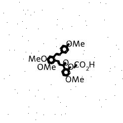 COc1ccc(/C=C/c2cc(OC)cc(OC)c2/C=C/C(=O)c2ccc(OC)cc2OCC(=O)O)cc1